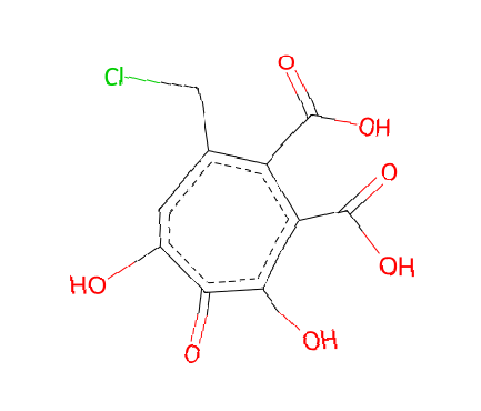 O=C(O)c1c(CCl)cc(O)c(=O)c(O)c1C(=O)O